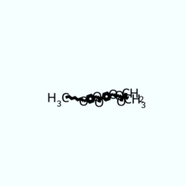 C=C(C)C(=O)OCOc1ccc(C(=O)Oc2ccc(OCCCCCC)cc2)cc1